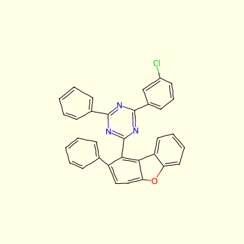 Clc1cccc(-c2nc(-c3ccccc3)nc(-c3c(-c4ccccc4)ccc4oc5ccccc5c34)n2)c1